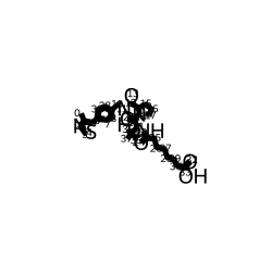 Cc1ncsc1-c1ccc(CNC(=O)C2CCCN2C(=O)C(NC(=O)CCCCCCC(=O)O)C(C)(C)C)cc1